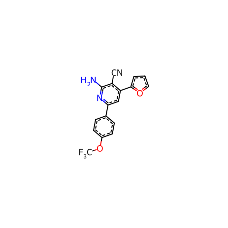 N#Cc1c(-c2ccco2)cc(-c2ccc(OC(F)(F)F)cc2)nc1N